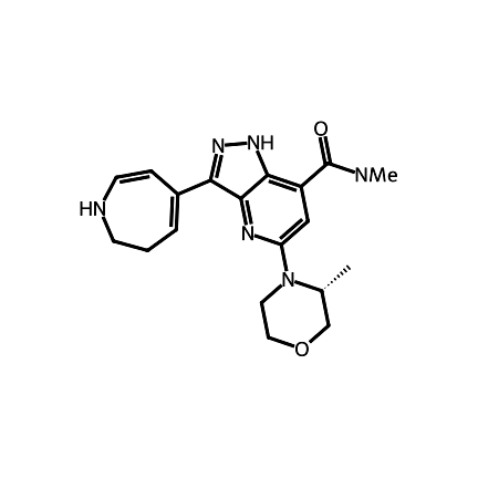 CNC(=O)c1cc(N2CCOC[C@H]2C)nc2c(C3=CCCNC=C3)n[nH]c12